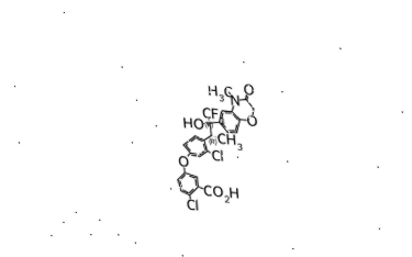 C[C@H](c1ccc(Oc2ccc(Cl)c(C(=O)O)c2)cc1Cl)[C@@](O)(c1ccc2c(c1)N(C)C(=O)CO2)C(F)(F)F